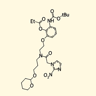 CCC(=O)Oc1c(NC(=O)OC(C)(C)C)cccc1OCCN(CCCOC1CCCCO1)C(=O)Cn1ccnc1[N+](=O)[O-]